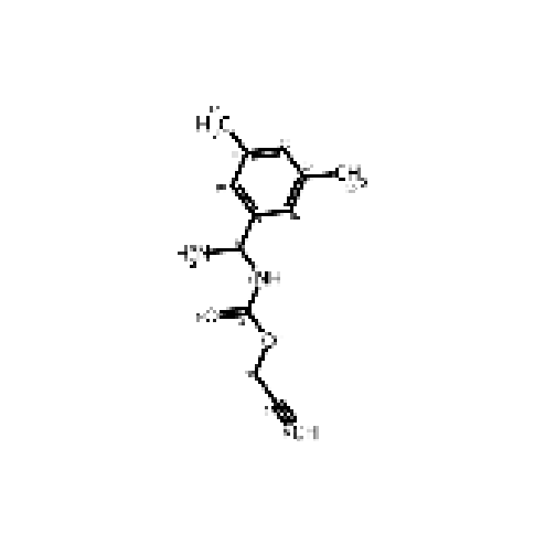 C#CCOC(=O)NC(N)c1cc(C)cc(C)c1